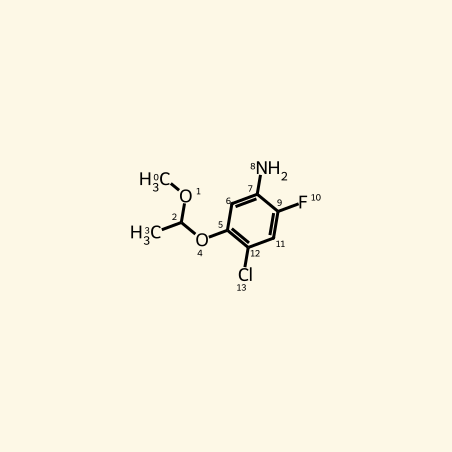 COC(C)Oc1cc(N)c(F)cc1Cl